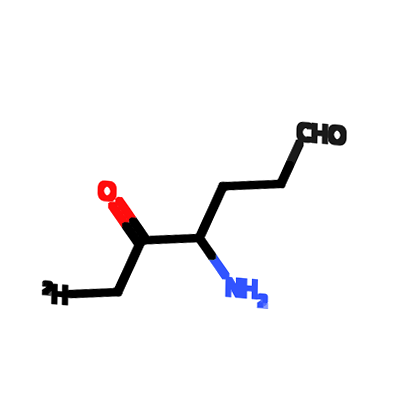 [2H]CC(=O)C(N)CCC=O